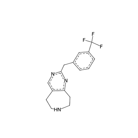 FC(F)(F)c1cccc(Cc2ncc3c(n2)CCNCC3)c1